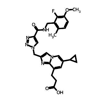 COc1ccc(C)c(CNC(=O)c2cn(Cc3cn4cc(C5CC5)cc(CCC(=O)O)c4n3)nn2)c1F